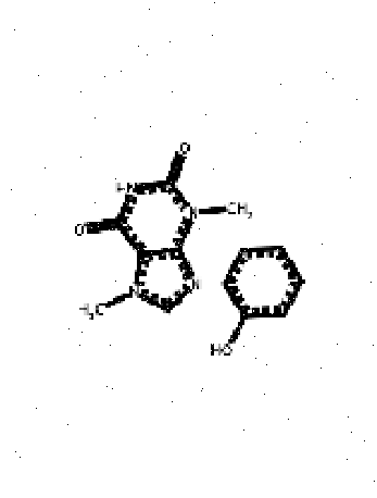 Cn1cnc2c1c(=O)[nH]c(=O)n2C.Oc1ccccc1